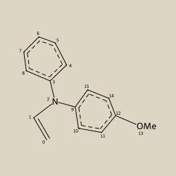 C=CN(c1ccccc1)c1ccc(OC)cc1